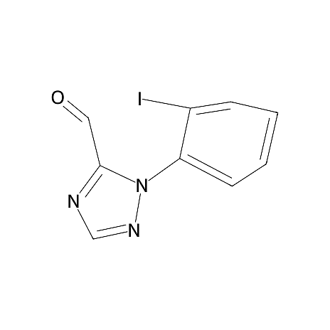 O=Cc1ncnn1-c1ccccc1I